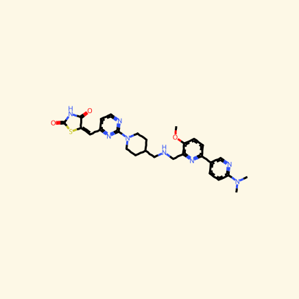 COc1ccc(-c2ccc(N(C)C)nc2)nc1CNCC1CCN(c2nccc(C=C3SC(=O)NC3=O)n2)CC1